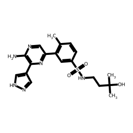 Cc1ccc(S(=O)(=O)NCCC(C)(C)O)cc1-c1cnc(N)c(-c2cn[nH]c2)n1